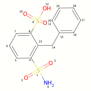 NS(=O)(=O)c1cccc(S(=O)(=O)O)c1Cc1ccccc1